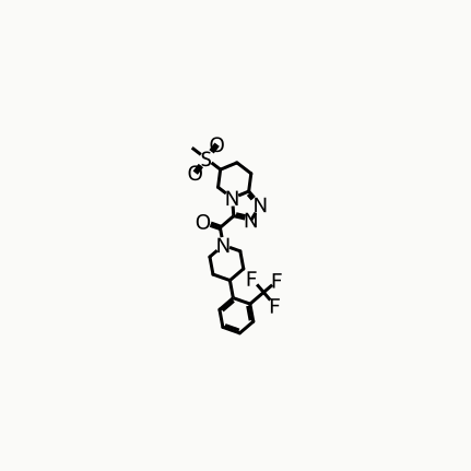 CS(=O)(=O)C1CCc2nnc(C(=O)N3CCC(c4ccccc4C(F)(F)F)CC3)n2C1